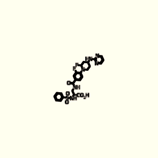 O=C(NC[C@H](NS(=O)(=O)c1ccccc1)C(=O)O)c1ccc(N2CCC(Nc3ncccn3)CC2F)c(F)c1